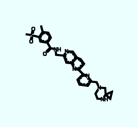 Cc1ccc(C(=O)NCc2cc3nc(-c4cccc(CN5CCNC6(CC6)C5)n4)ccc3cn2)cc1S(C)(=O)=O